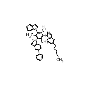 CCCCCCc1ccc2c(cnn2-c2c(C)c(-n3ccc4ccccc43)c(C)c(-n3ncc4cc(-c5ccccc5)ccc43)c2C)c1